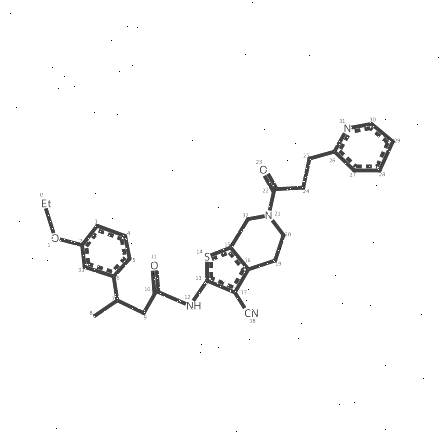 CCOc1cccc(C(C)CC(=O)Nc2sc3c(c2C#N)CCN(C(=O)CCc2ccccn2)C3)c1